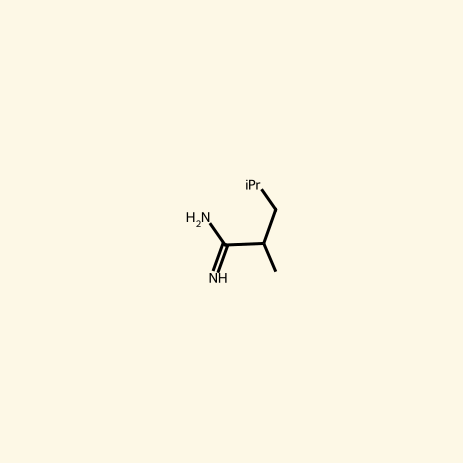 CC(C)CC(C)C(=N)N